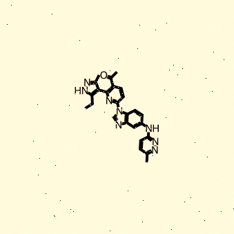 CCc1[nH]nc(C)c1-c1nc(-n2cnc3cc(Nc4ccc(C)nn4)ccc32)ccc1C(C)=O